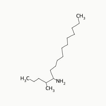 CCCCCCCCCCCC(N)C(C)CCC